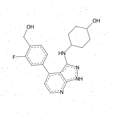 OCc1ccc(-c2ccnc3[nH]nc(NC4CCC(O)CC4)c23)cc1F